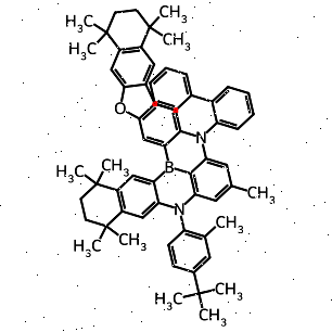 Cc1cc2c3c(c1)N(c1ccccc1-c1ccccc1)c1cc4c(cc1B3c1cc3c(cc1N2c1ccc(C(C)(C)C)cc1C)C(C)(C)CCC3(C)C)oc1cc2c(cc14)C(C)(C)CCC2(C)C